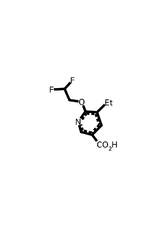 CCc1cc(C(=O)O)cnc1OCC(F)F